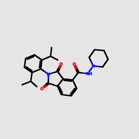 CC(C)c1cccc(C(C)C)c1N1C(=O)c2cccc(C(=O)NN3CCCCC3)c2C1=O